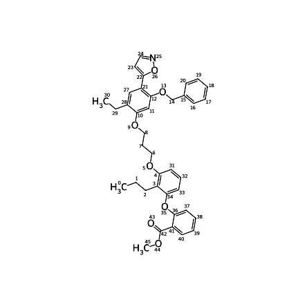 CCCc1c(OCCCOc2cc(OCc3ccccc3)c(-c3ccno3)cc2CC)cccc1Oc1ccccc1C(=O)OC